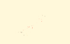 C=C(C)C(=O)OCCC(=O)OC1CSCC(C)O1